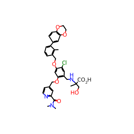 Cc1c(COc2cc(OCc3ccnc(C(=O)N(C)C)c3)c(CNC(C)(CO)C(=O)O)cc2Cl)cccc1-c1ccc2c(c1)OCCO2